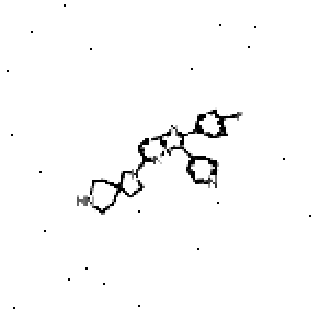 Fc1ccc(-c2nc3ccc(N4CCC5(CCNCC5)C4)nn3c2-c2ccncc2)cc1